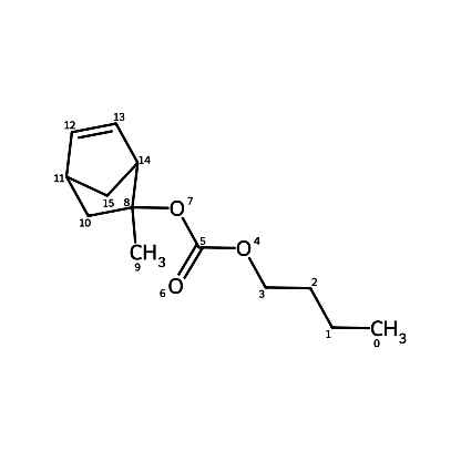 CCCCOC(=O)OC1(C)CC2C=CC1C2